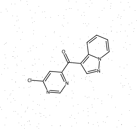 O=C(c1cc(Cl)ncn1)c1cnn2ccccc12